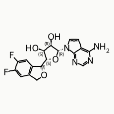 Nc1ncnc2c1ccn2[C@@H]1O[C@H]([C@@H]2OCc3cc(F)c(F)cc32)[C@@H](O)[C@H]1O